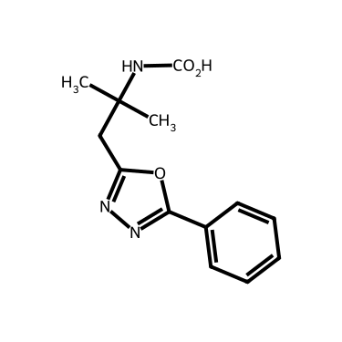 CC(C)(Cc1nnc(-c2ccccc2)o1)NC(=O)O